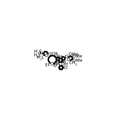 CC[C@H]1CCC[C@H](O[C@H]2CC[C@H](N(C)C)C(C)O2)[C@@H](C)C(=O)C2=C[C@H]3[C@@H]4C[C@H](O[C@@H]5OC(C)[C@H](OC)C(OC)C5OC)C[C@H]4[C@@H](O)[C@H](Nc4cccc(Cl)c4)[C@H]3[C@@H]2CC(=O)O1